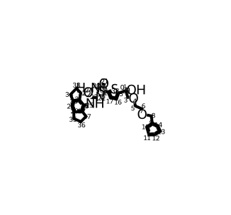 C[C@](O)(COCCOCc1ccccc1)c1ccc([S@@](N)(=O)=NC(=O)Nc2c3c(cc4c2CCC4)CCC3)s1